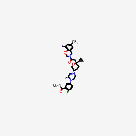 COC(=O)c1cc(N2CCN([C@@H]3CC[C@@](CC(=O)N4COc5c(I)cc(C(F)(F)F)cc5C4)(C4CC4)OC3)C[C@@H]2C)ccc1F